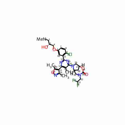 CNC[C@@H](O)COc1ccc(Cl)c(-c2nc(-c3c(C)noc3C)c(C)c(N3C[C@@H]4C[C@H]3CN(CC(F)F)C(=O)O4)n2)c1